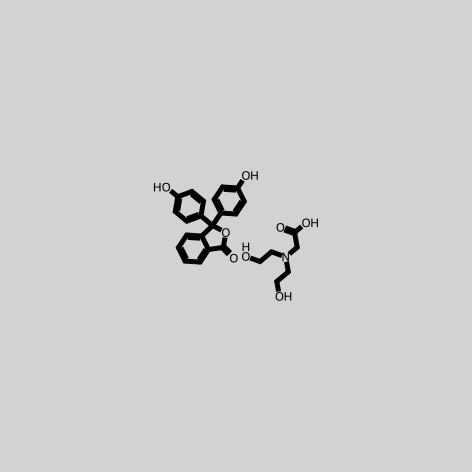 O=C(O)CN(CCO)CCO.O=C1OC(c2ccc(O)cc2)(c2ccc(O)cc2)c2ccccc21